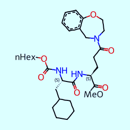 CCCCCCOC(=O)N[C@@H](CC1CCCCC1)C(=O)N[C@@H](CCC(=O)N1CCOc2ccccc2C1)C(=O)OC